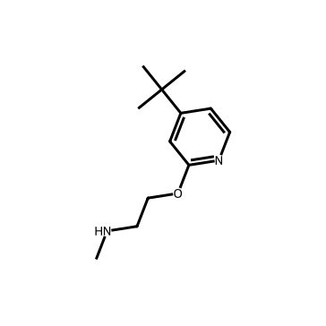 CNCCOc1cc(C(C)(C)C)ccn1